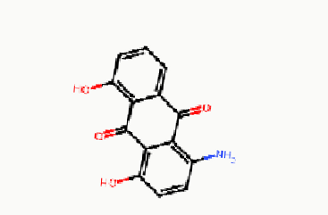 Nc1ccc(O)c2c1C(=O)c1cccc(O)c1C2=O